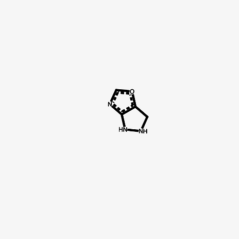 c1nc2c(o1)CNN2